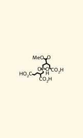 COC(=O)C(CCC(=O)O)CP(=O)(O)CC(CCC(=O)O)C(=O)O